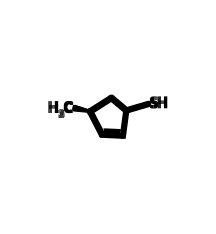 C[C@@H]1C=CC(S)C1